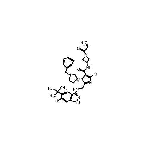 C=CC(=O)N1CC(NC(=O)c2c(Cl)nc(CNc3n[nH]c4cc(Cl)c(C(C)(C)C)cc34)n2[C@@H]2CCN(Cc3ccccc3)C2)C1